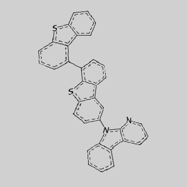 c1ccc2c(c1)sc1cccc(-c3cccc4c3sc3ccc(-n5c6ccccc6c6cccnc65)cc34)c12